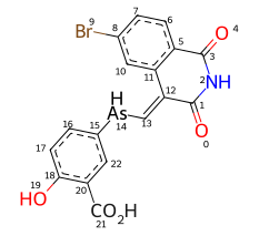 O=C1NC(=O)c2ccc(Br)cc2C1=C[AsH]c1ccc(O)c(C(=O)O)c1